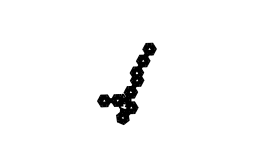 c1ccc(-c2ccc(-c3ccc4cc(-c5ccc(N(c6ccc(-c7ccccc7)cc6)c6cccc7c6sc6ccccc67)cc5)ccc4c3)cc2)cc1